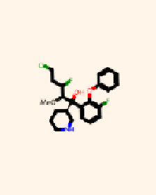 COC(C(F)CCCl)C(O)(c1cccc(F)c1Oc1ccccc1)[C@@H]1CCCNC1